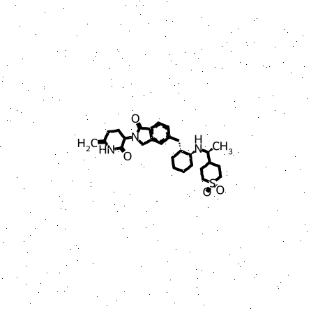 C=C1CCC(N2Cc3cc(C[C@H]4CCCC[C@@H]4N[C@@H](C)C4CCS(=O)(=O)CC4)ccc3C2=O)C(=O)N1